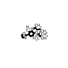 CCC/C(C)=N\c1c(OC(F)(F)C(C)(C)O)ccc(-c2ncco2)c1C